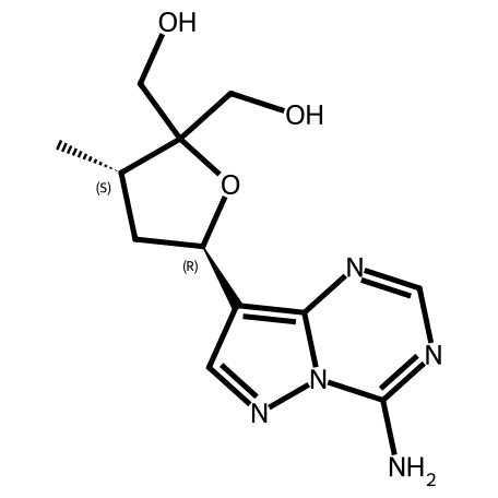 C[C@H]1C[C@H](c2cnn3c(N)ncnc23)OC1(CO)CO